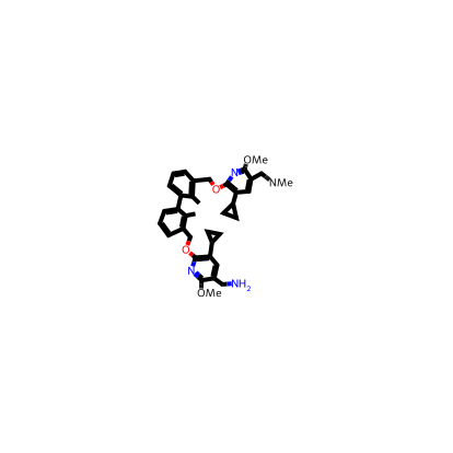 CNCc1cc(C2CC2)c(OCc2cccc(-c3cccc(COc4nc(OC)c(CN)cc4C4CC4)c3C)c2C)nc1OC